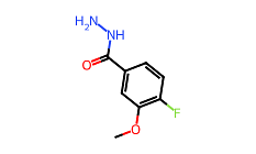 COc1cc(C(=O)NN)ccc1F